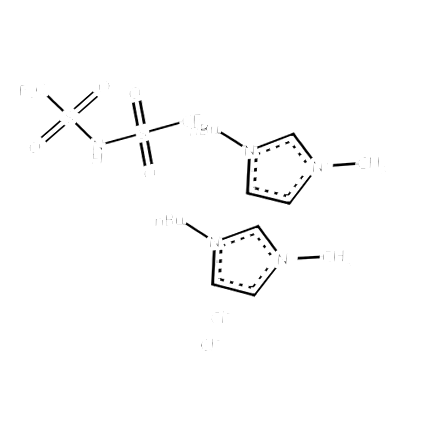 CCCCn1cc[n+](C)c1.CCCCn1cc[n+](C)c1.O=S(=O)(NS(=O)(=O)C(F)(F)F)C(F)(F)F.[Cl-].[Cl-]